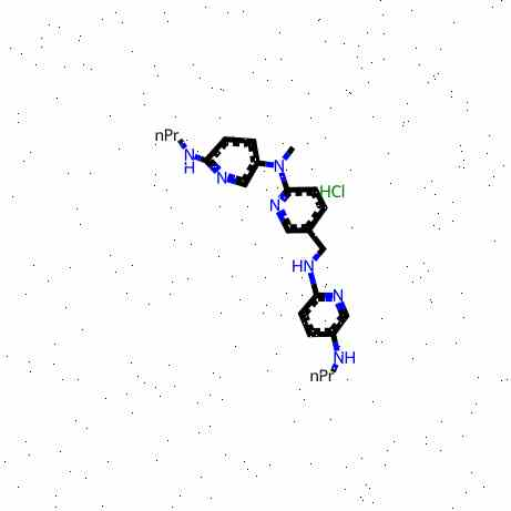 CCCNc1ccc(NCc2ccc(N(C)c3ccc(NCCC)nc3)nc2)nc1.Cl